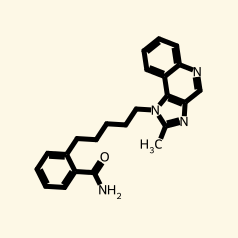 Cc1nc2cnc3ccccc3c2n1CCCCCc1ccccc1C(N)=O